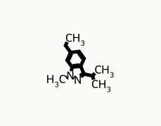 CCc1ccc2c(C(C)C)nn(C)c2c1